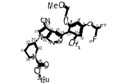 COCOc1cc(OC(F)F)cc(C)c1-c1cc2c(C#N)cn([C@@H]3CCCN(C(=O)OC(C)(C)C)C3)c2nn1